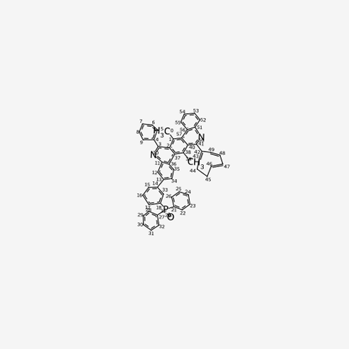 Cc1c2c(-c3ccccc3)nc3cc(-c4cccc(P(=O)(c5ccccc5)c5ccccc5)c4)ccc3c2c(C)c2c(C3=C/CC/C=C/C=C\3)nc3ccccc3c12